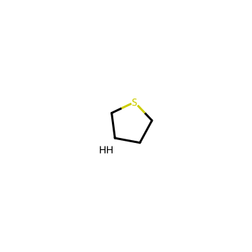 C1CCSC1.[HH]